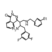 CCc1cccc(CNCC(c2nn(C)c(=O)c3ccccc23)C(N)Cc2cc(F)cc(F)c2)c1